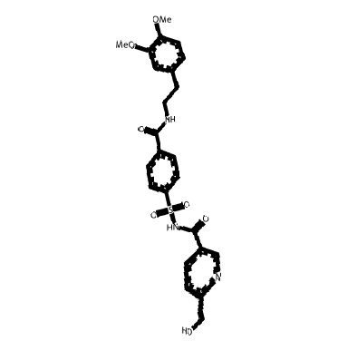 COc1ccc(CCNC(=O)c2ccc(S(=O)(=O)NC(=O)c3ccc(CO)nc3)cc2)cc1OC